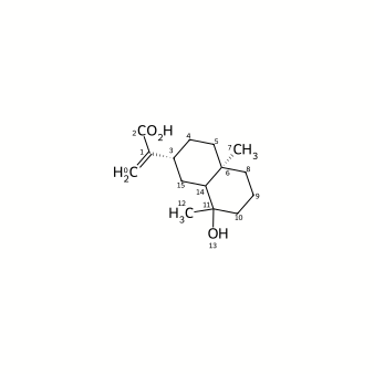 C=C(C(=O)O)[C@@H]1CC[C@@]2(C)CCCC(C)(O)C2C1